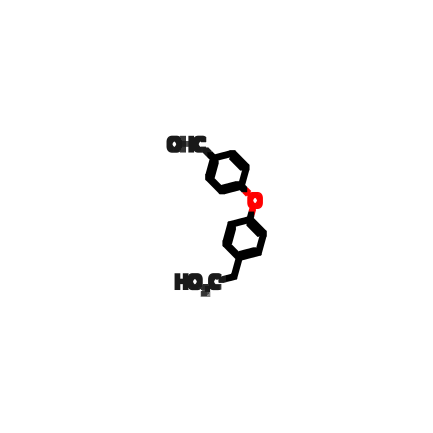 O=Cc1ccc(Oc2ccc(CC(=O)O)cc2)cc1